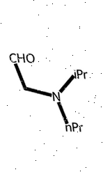 CCCN(CC=O)C(C)C